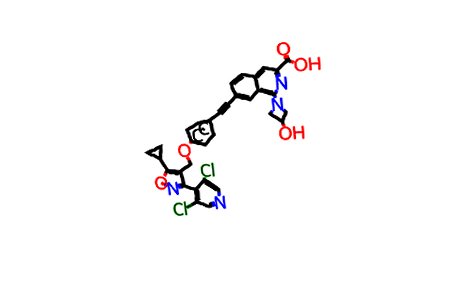 O=C(O)c1cc2ccc(C#CC34CCC(OCc5c(-c6c(Cl)cncc6Cl)noc5C5CC5)(CC3)CC4)cc2c(N2CC(O)C2)n1